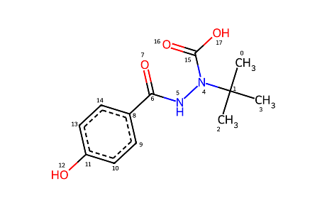 CC(C)(C)N(NC(=O)c1ccc(O)cc1)C(=O)O